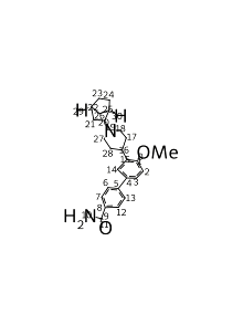 COc1ccc(-c2ccc(C(N)=O)cc2)cc1C1CCN([C@H]2C[C@H]3CC[C@H]2C3)CC1